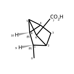 C[C@@H]1C2CC3C(C2C(=O)O)[C@@H]31